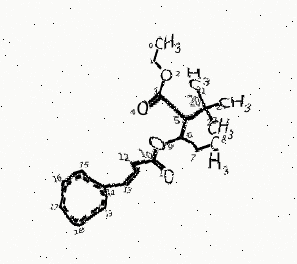 CCOC(=O)C(C(CC)OC(=O)C=Cc1ccccc1)C(C)(C)C